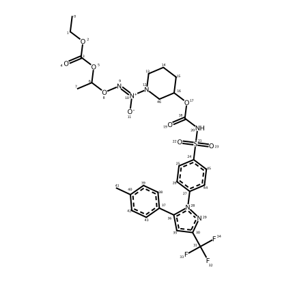 CCOC(=O)OC(C)ON=[N+]([O-])N1CCCC(OC(=O)NS(=O)(=O)c2ccc(-n3nc(C(F)(F)F)cc3-c3ccc(C)cc3)cc2)C1